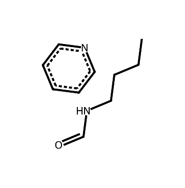 CCCCNC=O.c1ccncc1